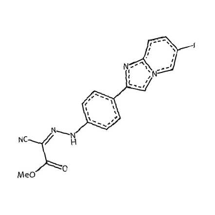 COC(=O)/C(C#N)=N\Nc1ccc(-c2cn3cc(I)ccc3n2)cc1